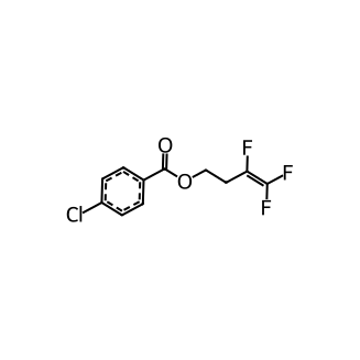 O=C(OCCC(F)=C(F)F)c1ccc(Cl)cc1